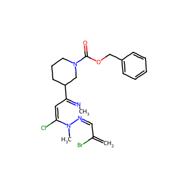 C=C(Br)/C=N\N(C)/C(Cl)=C\C(=N/C)C1CCCN(C(=O)OCc2ccccc2)C1